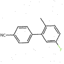 Cc1ccc(F)cc1-c1ccc(C#N)cc1